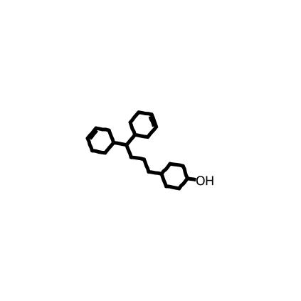 OC1CCC(CCCC(C2CC=CCC2)C2CC=CCC2)CC1